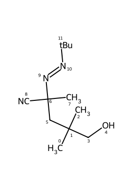 CC(C)(CO)CC(C)(C#N)N=NC(C)(C)C